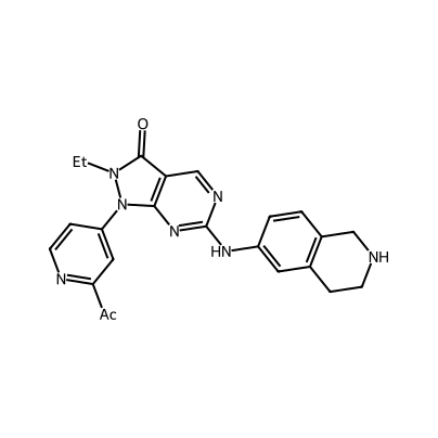 CCn1c(=O)c2cnc(Nc3ccc4c(c3)CCNC4)nc2n1-c1ccnc(C(C)=O)c1